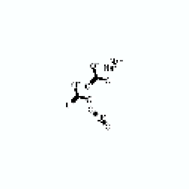 O=C([O-])[O-].O=C([O-])[O-].[Na+].[Na+].[O]=[U+2]=[O]